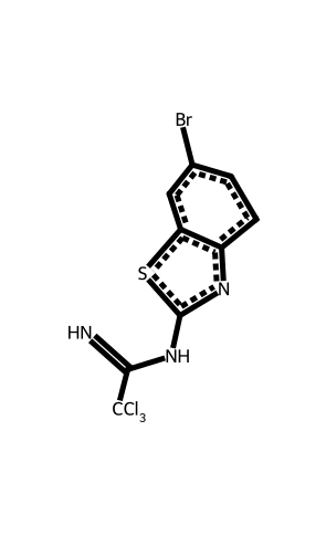 N=C(Nc1nc2ccc(Br)cc2s1)C(Cl)(Cl)Cl